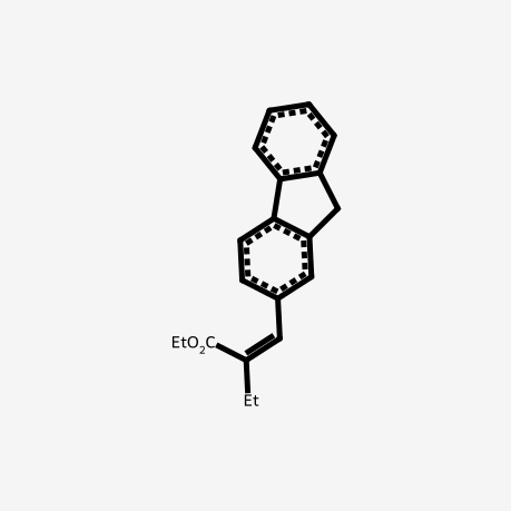 CCOC(=O)/C(=C\c1ccc2c(c1)Cc1ccccc1-2)CC